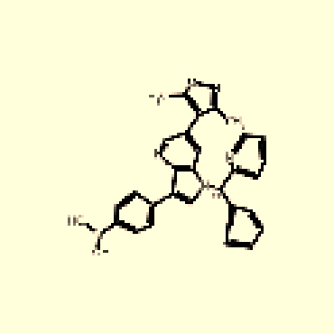 Cc1noc(C)c1-c1cnc2c(-c3ccc(B(O)O)cc3)cn([C@H](c3ccccc3)c3ccccn3)c2c1